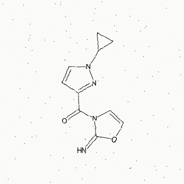 N=c1occn1C(=O)c1ccn(C2CC2)n1